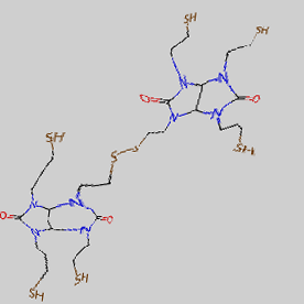 O=C1N(CCS)C2C(N1CCS)N(CCSSCCN1C(=O)N(CCS)C3C1N(CCS)C(=O)N3CCS)C(=O)N2CCS